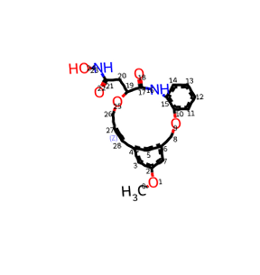 COc1cc2cc(c1)COc1ccccc1NC(=O)C(CC(=O)NO)OC/C=C\2